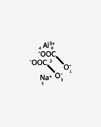 O=C([O-])[O-].O=C([O-])[O-].[Al+3].[Na+]